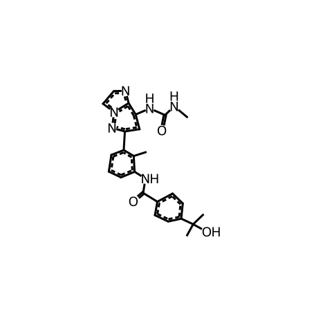 CNC(=O)Nc1cc(-c2cccc(NC(=O)c3ccc(C(C)(C)O)cc3)c2C)nn2ccnc12